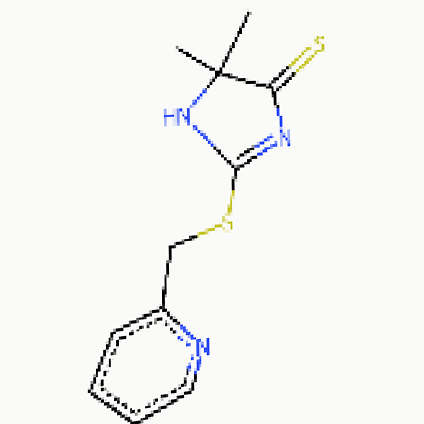 CC1(C)NC(SCc2ccccn2)=NC1=S